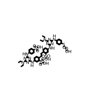 CCN(CC)c1nc(Nc2ccc(SOOO)cc2)nc(Nc2ccc(/C=C/c3ccc(Nc4nc(Nc5ccc(S(=O)(=O)O)cc5)nc(N(CC)CC)n4)cc3S(=O)(=O)O)c(S(=O)(=O)O)c2)n1